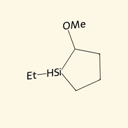 CC[SiH]1CCCC1OC